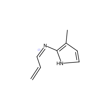 C=C/C=N\c1[nH]ccc1C